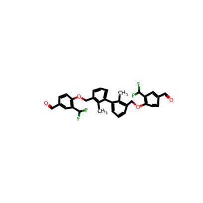 Cc1c(COc2ccc(C=O)cc2C(F)F)cccc1-c1cccc(COc2ccc(C=O)cc2C(F)F)c1C